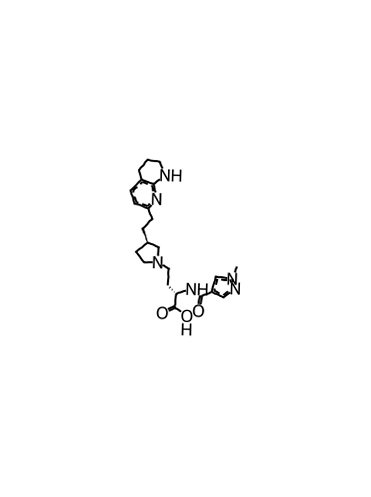 Cn1cc(C(=O)N[C@@H](CCN2CC[C@@H](CCc3ccc4c(n3)NCCC4)C2)C(=O)O)cn1